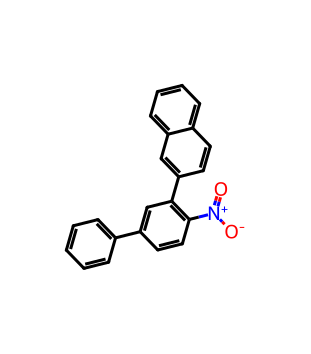 O=[N+]([O-])c1ccc(-c2ccccc2)cc1-c1ccc2ccccc2c1